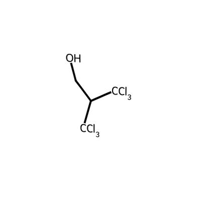 OCC(C(Cl)(Cl)Cl)C(Cl)(Cl)Cl